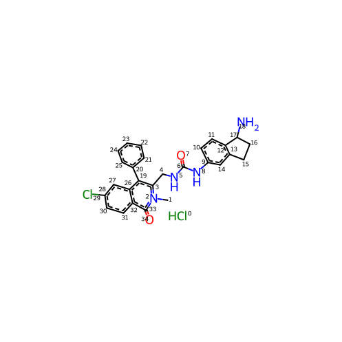 Cl.Cn1c(CNC(=O)Nc2ccc3c(c2)CCC3N)c(-c2ccccc2)c2cc(Cl)ccc2c1=O